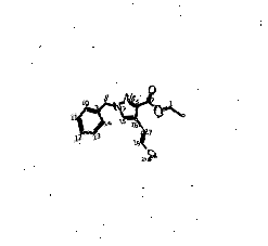 CCOC(=O)c1nn(Cc2ccccc2)cc1C=COC